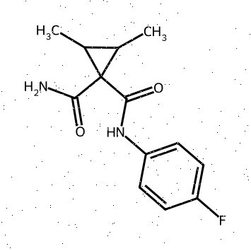 CC1C(C)C1(C(N)=O)C(=O)Nc1ccc(F)cc1